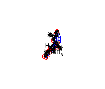 CC(C)C[C@H](NC(=O)[C@H](Cc1ccccc1)N1C(=O)[C@@H](NC(=O)[C@H](CCc2ccccc2)NC(=O)CN2CCOCC2)CC1C)/C(=N/OC(=O)Oc1ccc([N+](=O)[O-])cc1)[C@@]1(C)CO1